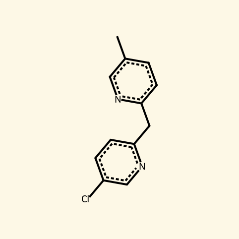 Cc1ccc(Cc2ccc(Cl)cn2)nc1